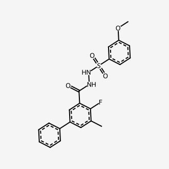 COc1cccc(S(=O)(=O)NNC(=O)c2cc(-c3ccccc3)cc(C)c2F)c1